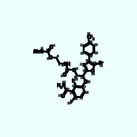 CNC(=O)OCCNC(=O)OCC(Oc1ccc(F)c(C(N)=O)c1F)c1nc(-c2ccc(C(F)(F)F)cc2)c(Br)o1